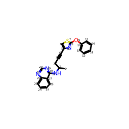 CC(CC#Cc1csc(Oc2ccccc2)n1)Nc1ncnc2ccccc12